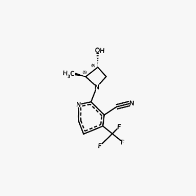 C[C@H]1[C@H](O)CN1c1nccc(C(F)(F)F)c1C#N